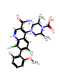 COc1cccc(F)c1-c1c(Cl)cc2c(N3CC(C)N(C(=O)O)C(C)C3)c(C(N)=O)cnc2c1F